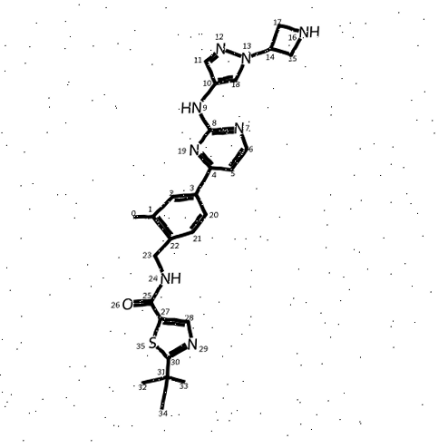 Cc1cc(-c2ccnc(Nc3cnn(C4CNC4)c3)n2)ccc1CNC(=O)c1cnc(C(C)(C)C)s1